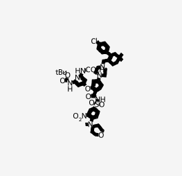 CN(c1ccc(S(=O)(=O)NC(=O)c2ccc(N3CCN(CC4=C(c5ccc(Cl)cc5)CC(C)(C)CC4)CC3)cc2Oc2cc(NC(=O)O)nc(NC(=O)OC(C)(C)C)c2)cc1[N+](=O)[O-])C1CCOCC1